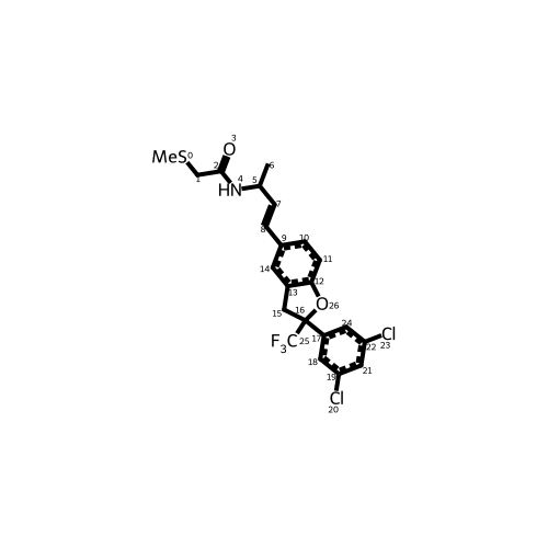 CSCC(=O)NC(C)/C=C/c1ccc2c(c1)CC(c1cc(Cl)cc(Cl)c1)(C(F)(F)F)O2